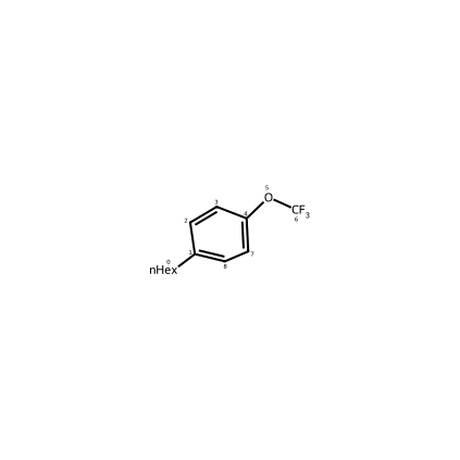 CCCCCCc1ccc(OC(F)(F)F)cc1